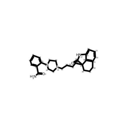 NC(=O)c1ccccc1N1CCN(CCCCC23CCCc4cccc(c42)NC3=O)CC1